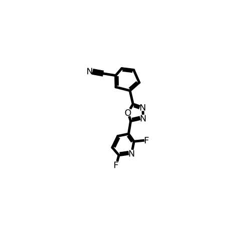 N#Cc1cccc(-c2nnc(-c3ccc(F)nc3F)o2)c1